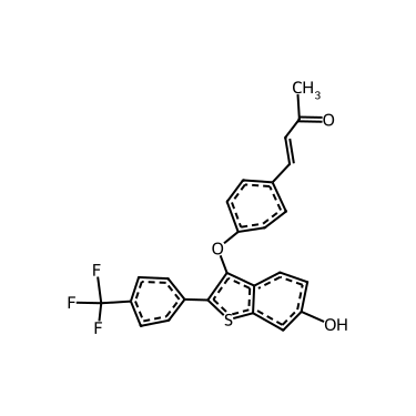 CC(=O)C=Cc1ccc(Oc2c(-c3ccc(C(F)(F)F)cc3)sc3cc(O)ccc23)cc1